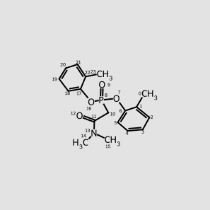 Cc1ccccc1OP(=O)(CC(=O)N(C)C)Oc1ccccc1C